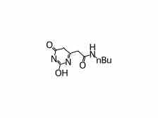 CCCCNC(=O)CC1=NC(O)=NC(=O)C1